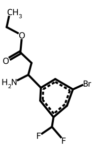 CCOC(=O)CC(N)c1cc(Br)cc(C(F)F)c1